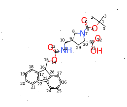 CC(C)(C)OC(=O)N1C[C@H](CNC(=O)OCC2c3ccccc3-c3ccccc32)C[C@H]1C(=O)O